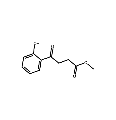 COC(=O)CCC(=O)c1ccccc1O